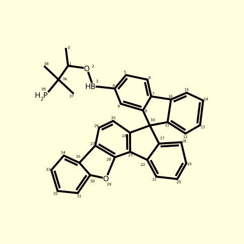 CC(OBc1ccc2c(c1)C1(c3ccccc3-2)c2ccccc2-c2c1ccc1c2oc2ccccc21)C(C)(C)P